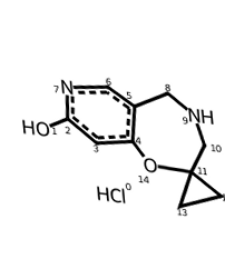 Cl.Oc1cc2c(cn1)CNCC1(CC1)O2